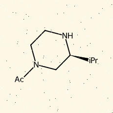 CC(=O)N1CCN[C@@H](C(C)C)C1